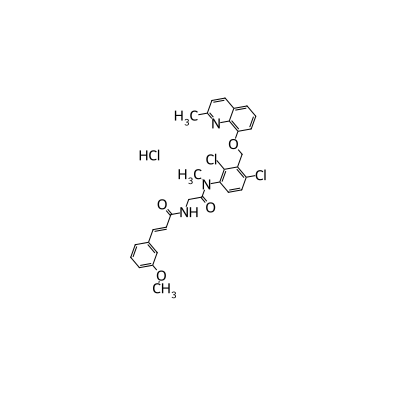 COc1cccc(/C=C/C(=O)NCC(=O)N(C)c2ccc(Cl)c(COc3cccc4ccc(C)nc34)c2Cl)c1.Cl